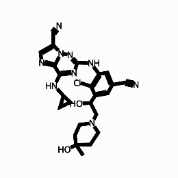 CC1(O)CCN(CC(O)c2cc(C#N)cc(Nc3nc(NC4CC4)c4ncc(C#N)n4n3)c2Cl)CC1